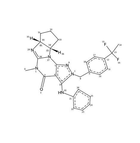 CN1C(=O)c2c(nn(Cc3ccc(C(C)(F)F)cc3)c2Nc2ccccc2)N2C1=N[C@@H]1CCC[C@@H]12